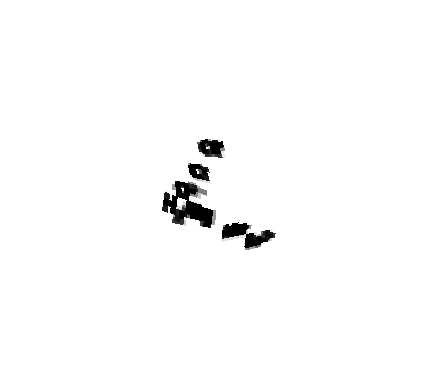 [Ba+2].[Cr].[Cu].[MgH2].[Mn].[O-2]